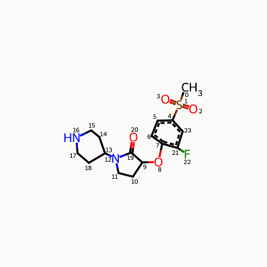 CS(=O)(=O)c1ccc(OC2CCN(C3CCNCC3)C2=O)c(F)c1